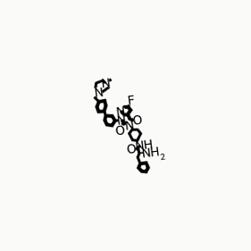 CN1CCCN(Cc2ccc(-c3cccc(-n4c(=O)n([C@H]5CC[C@@H](NC(=O)[C@@H](N)Cc6ccccc6)CC5)c(=O)c5cc(F)cnc54)c3)cc2)CC1